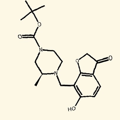 C[C@H]1CN(C(=O)OC(C)(C)C)CCN1Cc1c(O)ccc2c1OCC2=O